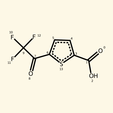 O=C(O)c1ccc(C(=O)C(F)(F)F)s1